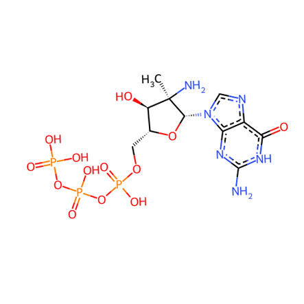 C[C@@]1(N)[C@H](O)[C@@H](COP(=O)(O)OP(=O)(O)OP(=O)(O)O)O[C@H]1n1cnc2c(=O)[nH]c(N)nc21